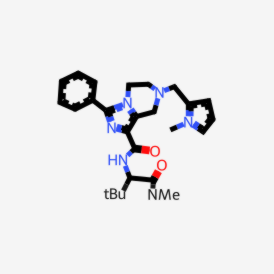 CNC(=O)C(NC(=O)c1nc(-c2ccccc2)n2c1CN(Cc1cccn1C)CC2)C(C)(C)C